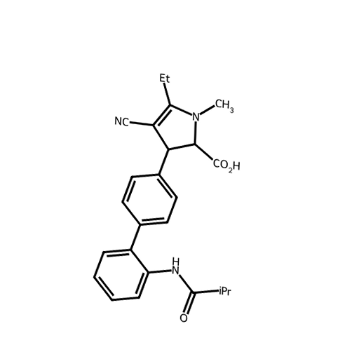 CCC1=C(C#N)C(c2ccc(-c3ccccc3NC(=O)C(C)C)cc2)C(C(=O)O)N1C